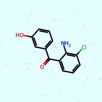 Nc1c(Cl)cccc1C(=O)c1cccc(O)c1